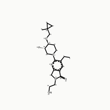 CCc1cc2c(nc1N1CC[C@H](OCC3(C)CC3)[C@@H](F)C1)CN(CCO)C2=O